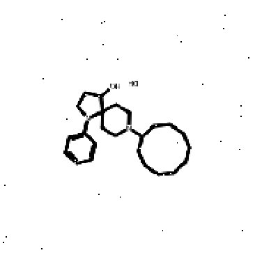 Cl.OC1CCN(c2ccccc2)C12CCN(C1CCCCCCCCC1)CC2